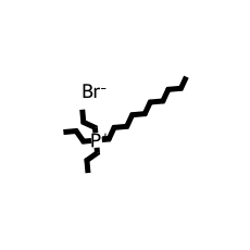 CCCCCCCCCC[P+](CCC)(CCC)CCC.[Br-]